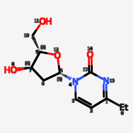 CCc1ccn([C@@H]2C[C@@H](O)[C@H](CO)O2)c(=O)n1